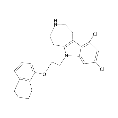 Clc1cc(Cl)c2c3c(n(CCOc4cccc5c4CCCC5)c2c1)CCNCC3